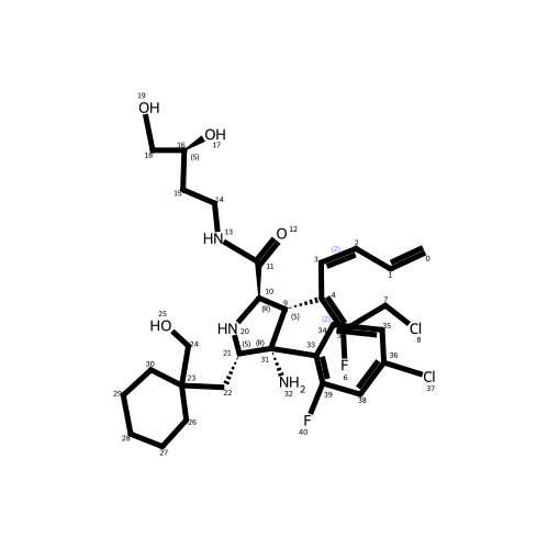 C=C/C=C\C(=C(\F)CCl)[C@H]1[C@H](C(=O)NCC[C@H](O)CO)N[C@@H](CC2(CO)CCCCC2)[C@]1(N)c1ccc(Cl)cc1F